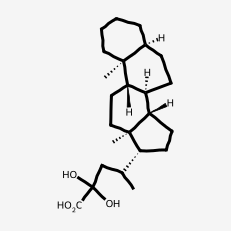 CC(CC(O)(O)C(=O)O)[C@H]1CC[C@H]2[C@@H]3CC[C@@H]4CCCC[C@]4(C)[C@H]3CC[C@]12C